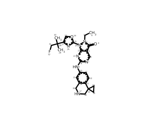 CCn1c(=O)c2cnc(Nc3ccc4c(c3)CNCC43CC3)nc2n1-c1nc(C(C)(C)CF)co1